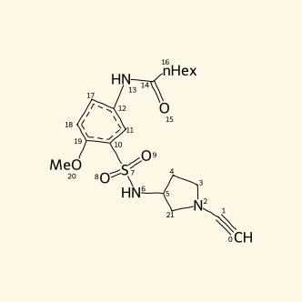 C#CN1CCC(NS(=O)(=O)c2cc(NC(=O)CCCCCC)ccc2OC)C1